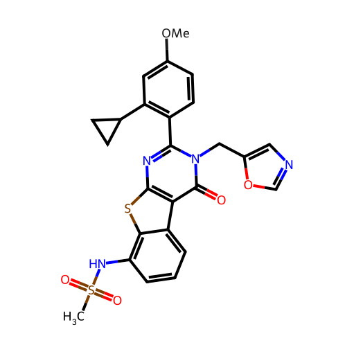 COc1ccc(-c2nc3sc4c(NS(C)(=O)=O)cccc4c3c(=O)n2Cc2cnco2)c(C2CC2)c1